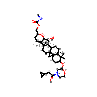 CNC(=O)OCC1C[C@@H](C)[C@H]2C(O1)[C@H](O)[C@@]1(C)C3CC[C@H]4C(C)(C)C(O[C@H]5CN(C(=O)CC6CC6)CCO5)CCC45CC35CCC21C